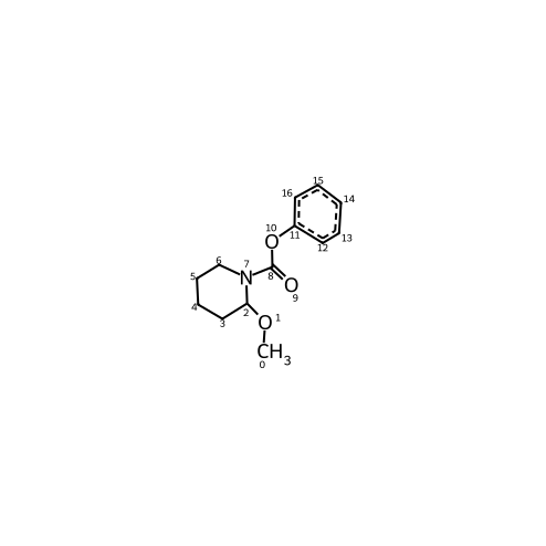 COC1CCCCN1C(=O)Oc1ccccc1